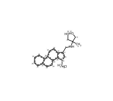 Cl.Cn1cc(CNC(C)(CO)CO)c2ccc3c4ccccc4ccc3c21